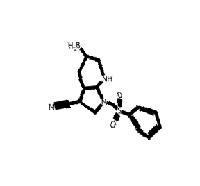 BC1CNC2C(C1)C(C#N)CN2S(=O)(=O)c1ccccc1